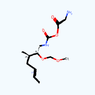 C/C=C/C[C@@H](C)[C@H](CNC(=O)OC(=O)CN)OCOCC